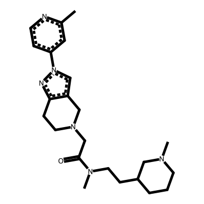 Cc1cc(-n2cc3c(n2)CCN(CC(=O)N(C)CCC2CCCN(C)C2)C3)ccn1